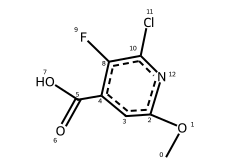 COc1cc(C(=O)O)c(F)c(Cl)n1